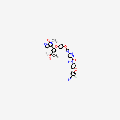 Cn1cc(-c2cc(C(C)(C)O)ccc2Oc2ccc(OC3CN(c4ccc(C(=O)N[C@H]5CC[C@H](Oc6ccc(C#N)c(Cl)c6)CC5)nn4)C3)cc2)c2cc[nH]c2c1=O